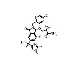 Cc1nc(C(C)(O)c2cc(F)c3c(c2)C(=O)N(Cc2ccc(Cl)cn2)[C@@H]3OCC2(C(N)=O)CC2)cn1C